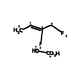 CC=C(F)CF.O=C(O)O